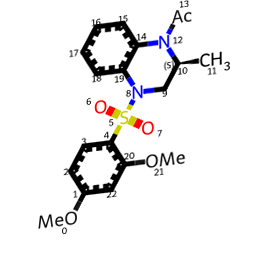 COc1ccc(S(=O)(=O)N2C[C@H](C)N(C(C)=O)c3ccccc32)c(OC)c1